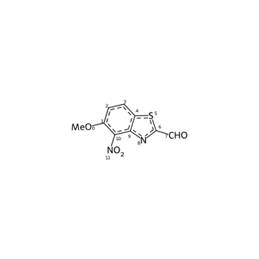 COc1ccc2sc(C=O)nc2c1[N+](=O)[O-]